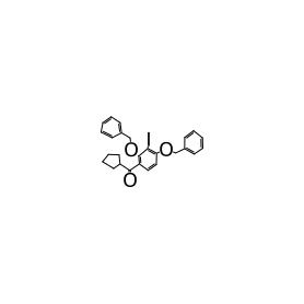 O=C(c1ccc(OCc2ccccc2)c(I)c1OCc1ccccc1)C1CCCC1